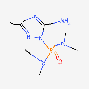 Cc1nc(N)n(P(=O)(N(C)C)N(C)C)n1